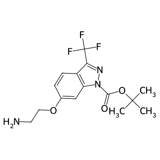 CC(C)(C)OC(=O)n1nc(C(F)(F)F)c2ccc(OCCN)cc21